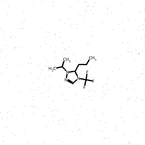 CCCC1N(C(C)C)N=CN1C(F)(F)F